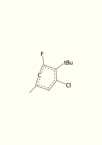 Cc1cc(F)c(C(C)(C)C)c(Cl)c1